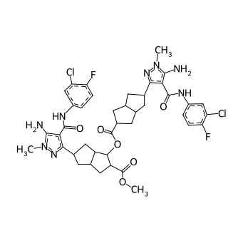 COC(=O)C1CC2CC(c3nn(C)c(N)c3C(=O)Nc3ccc(F)c(Cl)c3)CC2C1OC(=O)C1CC2CC(c3nn(C)c(N)c3C(=O)Nc3ccc(F)c(Cl)c3)CC2C1